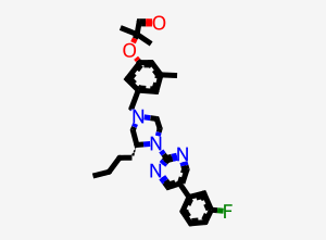 CCCC[C@@H]1CN(Cc2cc(C)cc(OC(C)(C)C=O)c2)CCN1c1ncc(-c2cccc(F)c2)cn1